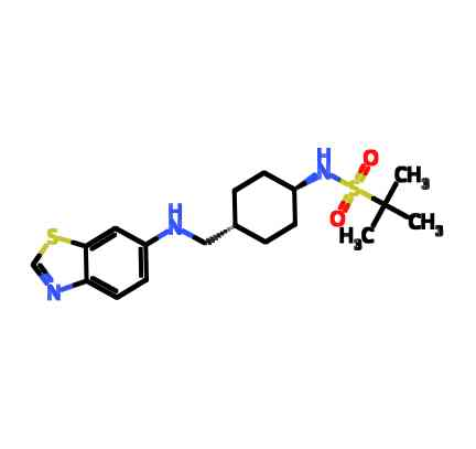 CC(C)(C)S(=O)(=O)N[C@H]1CC[C@H](CNc2ccc3ncsc3c2)CC1